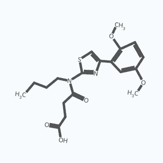 CCCCN(C(=O)CCC(=O)O)c1nc(-c2cc(OC)ccc2OC)cs1